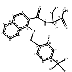 CC[C@](C)(NC(=O)c1ccc2ccccc2c1OCc1ccc(C(F)(F)F)cc1F)C(=O)O